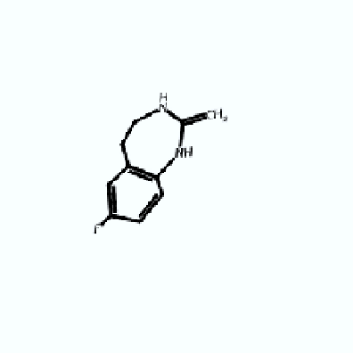 C=C1NCCc2cc(F)ccc2N1